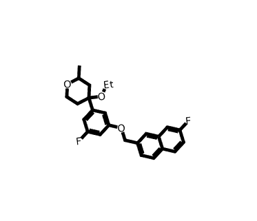 CCOC1(c2cc(F)cc(OCc3ccc4ccc(F)cc4c3)c2)CCOC(C)C1